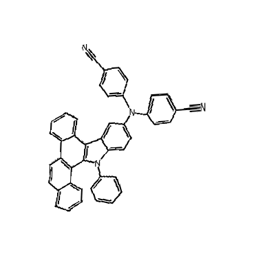 N#Cc1ccc(N(c2ccc(C#N)cc2)c2ccc3c(c2)c2c4ccccc4c4ccc5ccccc5c4c2n3-c2ccccc2)cc1